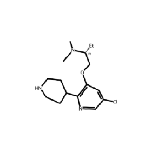 CC[C@H](COc1cc(Cl)cnc1C1CCNCC1)N(C)C